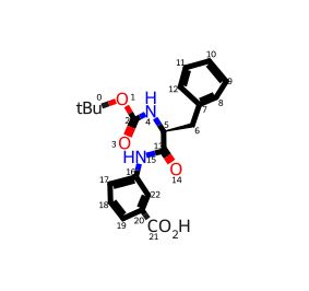 CC(C)(C)OC(=O)N[C@@H](Cc1ccccc1)C(=O)Nc1cccc(C(=O)O)c1